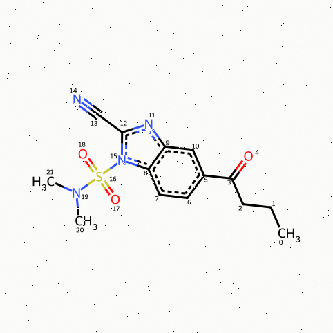 CCCC(=O)c1ccc2c(c1)nc(C#N)n2S(=O)(=O)N(C)C